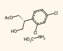 CC(=O)OC[C@@H](CO)c1ccc(Cl)cc1Cl.NC(=O)O